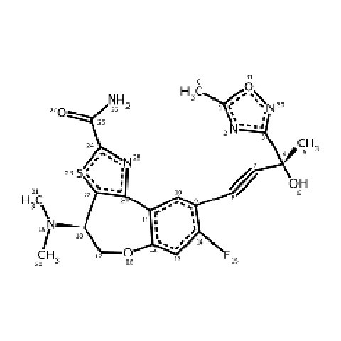 Cc1nc([C@](C)(O)C#Cc2cc3c(cc2F)OC[C@@H](N(C)C)c2sc(C(N)=O)nc2-3)no1